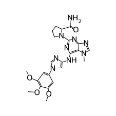 COc1cc(-n2cnc(Nc3nc(N4CCCC4C(N)=O)nc4ncn(C)c34)c2)cc(OC)c1OC